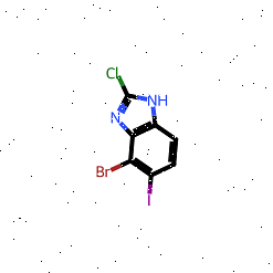 Clc1nc2c(Br)c(I)ccc2[nH]1